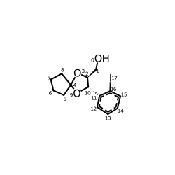 OC[C@@H]1OC2(CCCC2)O[C@H]1c1ccccc1I